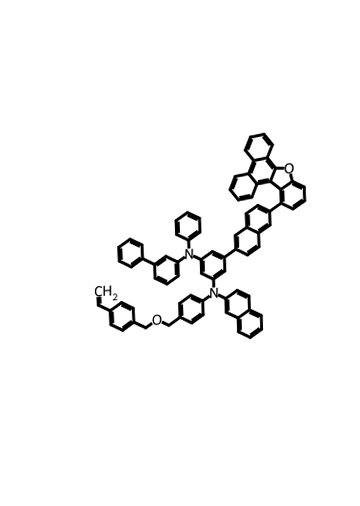 C=Cc1ccc(COCc2ccc(N(c3cc(-c4ccc5cc(-c6cccc7oc8c9ccccc9c9ccccc9c8c67)ccc5c4)cc(N(c4ccccc4)c4cccc(-c5ccccc5)c4)c3)c3ccc4ccccc4c3)cc2)cc1